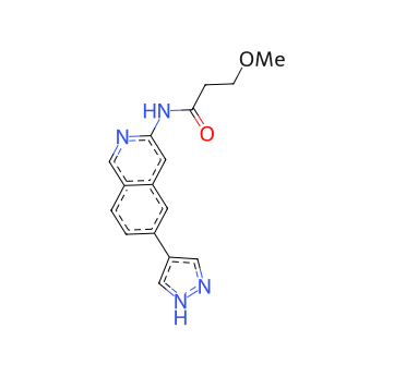 COCCC(=O)Nc1cc2cc(-c3cn[nH]c3)ccc2cn1